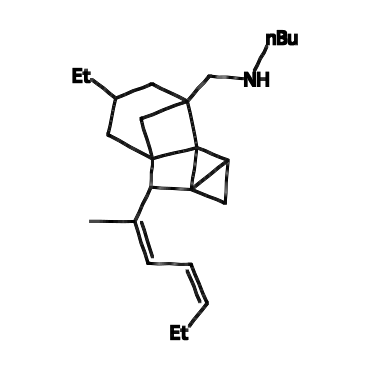 CC/C=C\C=C(\C)C1C23CC(CC)CC(CNCCCC)(C2)C32C3CC132